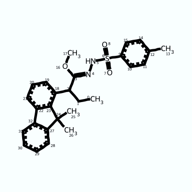 CCC(C(=NNS(=O)(=O)c1ccc(C)cc1)OC)c1cccc2c1C(C)(C)c1ccccc1-2